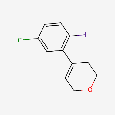 Clc1ccc(I)c(C2=CCOCC2)c1